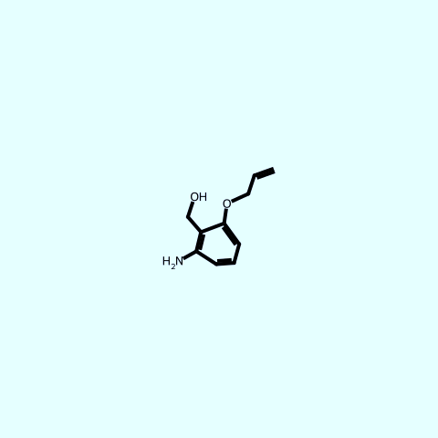 C=CCOc1cccc(N)c1CO